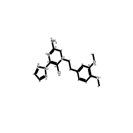 COc1ccc(CCN2CC(N)=NC(n3nccn3)=C2Cl)cc1OC